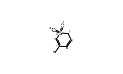 CC1=CS(=O)(=O)CC=C1